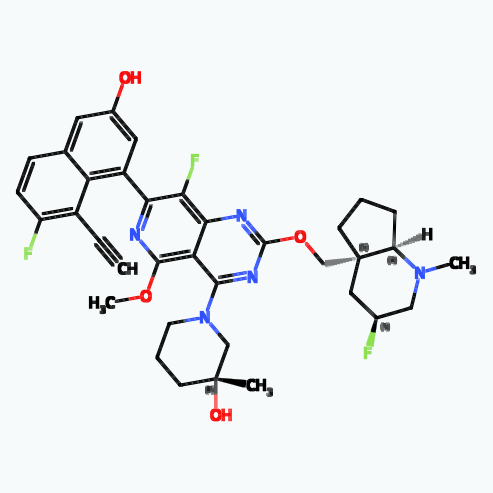 C#Cc1c(F)ccc2cc(O)cc(-c3nc(OC)c4c(N5CCC[C@@](C)(O)C5)nc(OC[C@]56CCC[C@H]5N(C)C[C@@H](F)C6)nc4c3F)c12